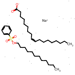 CCCCCCCC/C=C\CCCCCCCC(=O)[O-].CCCCCCCCCCCCOS(=O)(=O)c1ccccc1.[Na+]